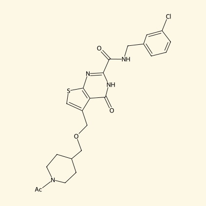 CC(=O)N1CCC(COCc2csc3nc(C(=O)NCc4cccc(Cl)c4)[nH]c(=O)c23)CC1